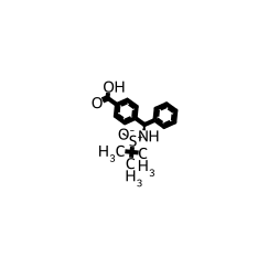 CC(C)(C)[S@+]([O-])N[C@H](c1ccccc1)c1ccc(C(=O)O)cc1